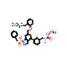 CCOC(=O)Cc1ccccc1OCc1cc(-c2cccc(CNC(=O)OC(C)(C)C)c2F)c2cnn(S(=O)(=O)Cc3ccccc3)c2c1